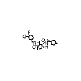 Cc1ccc([C@H](C)NC(=O)c2cc(C(=O)NCc3ccc(F)c(Cl)c3)ncn2)cc1